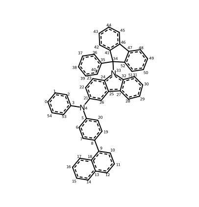 c1ccc(N(c2ccc(-c3cccc4ccccc34)cc2)c2ccc3c(c2)c2ccccc2n3C2(c3ccccc3)c3ccccc3-c3ccccc32)cc1